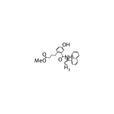 COC(=O)CCCc1ccc(O)cc1C(=O)N[C@H](C)c1cccc2ccccc12